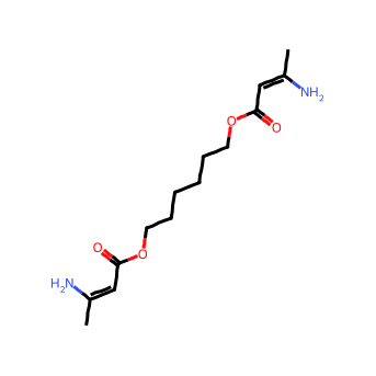 CC(N)=CC(=O)OCCCCCCOC(=O)C=C(C)N